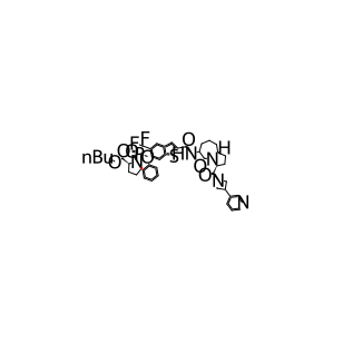 CCCCOC(=O)[C@@H]1CCCN1P(=O)(Oc1ccccc1)C(F)(F)c1ccc2sc(C(=O)N[C@H]3CCC[C@H]4CC[C@@H](C(=O)N5CC(c6cccnc6)C5)N4C3=O)cc2c1